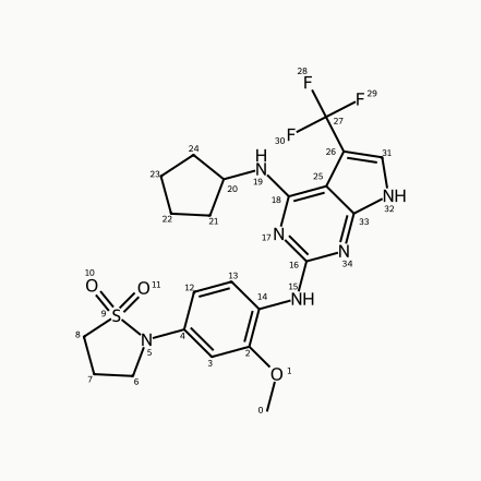 COc1cc(N2CCCS2(=O)=O)ccc1Nc1nc(NC2CCCC2)c2c(C(F)(F)F)c[nH]c2n1